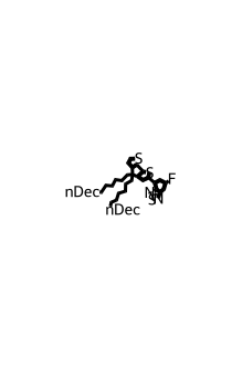 CCCCCCCCCCCCCCCCC1(CCCCCCCCCCCCCCCC)c2ccsc2-c2sc(-c3cc(F)cc4nsnc34)cc21